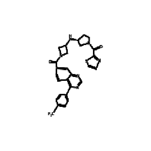 O=C(c1ccc2c(-c3ccc(C(F)(F)F)cc3)ncnc2c1)N1CC(N[C@H]2CCN(C(=O)c3nccs3)C2)C1